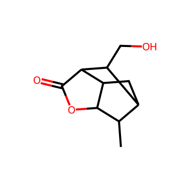 CC1C2CC3C1OC(=O)C3C2CO